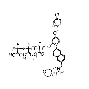 CN(Cc1ccc2c(c1)CCC(n1ccc(OCc3ccc(Cl)cn3)cc1=O)=C2)C[C@H]1COCCN1.O=C(O)C(F)(F)F.O=C(O)C(F)(F)F.O=C(O)C(F)(F)F